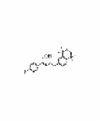 CC1(C)CCC(C)(C)c2cc(CCC=C(CO)c3ccc(F)cc3)ccc21